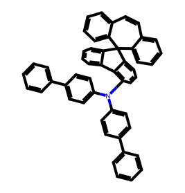 C1=Cc2ccccc2C2(c3ccccc31)c1ccccc1-c1c(N(c3ccc(-c4ccccc4)cc3)c3ccc(-c4ccccc4)cc3)cccc12